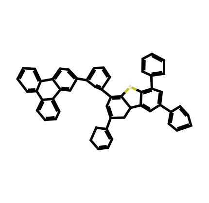 C1=CCCC(C2=CC(c3cccc(-c4ccc5c6ccccc6c6ccccc6c5c4)c3)=C3Sc4c(-c5ccccc5)cc(-c5ccccc5)cc4C3C2)=C1